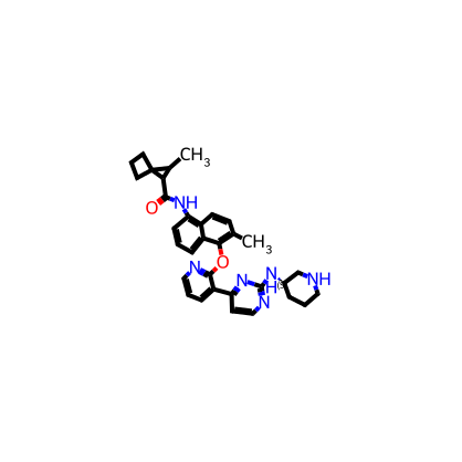 Cc1ccc2c(NC(=O)C3C(C)C34CCC4)cccc2c1Oc1ncccc1-c1ccnc(N[C@H]2CCCNC2)n1